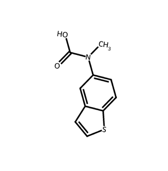 CN(C(=O)O)c1ccc2sccc2c1